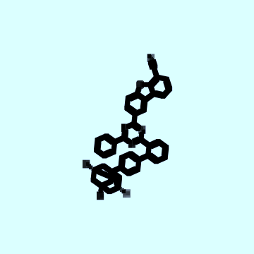 N#Cc1cccc2c1oc1ccc(-c3nc(-c4ccccc4)nc(-c4ccccc4-c4ccc(C56C[C@H]7C[C@@H](C5)C[C@@H](C6)C7)cc4)n3)cc12